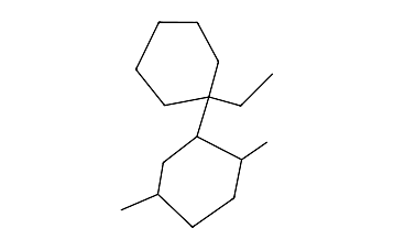 CCC1(C2CC(C)CCC2C)CCCCC1